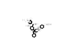 COC1CCC(S(=O)(=O)N2CCC(CC3CCCCC3)(C3CC(C=N)C(Nc4ccc(=O)n(C)c4)CC3C)C2)CC1